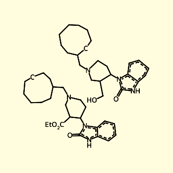 CCOC(=O)C1CN(CC2CCCCCCCC2)CCC1n1c(=O)[nH]c2ccccc21.O=c1[nH]c2ccccc2n1C1CCN(CC2CCCCCCCC2)CC1CO